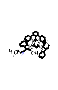 C=N/C=C\c1c(C)n(-c2cc(-n3c4ccccc4c4ccncc43)nc(-c3c(-c4ccccc4)cccc3-c3ccccc3)n2)c2ccccc12